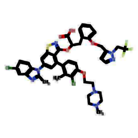 Cc1c(-c2cc(-n3c(C)nc4cc(Cl)ccc43)cc3snc(OC(Cc4ccccc4OCc4ccnn4CC(F)(F)F)C(=O)O)c23)ccc(OCCN2CCN(C)CC2)c1Cl